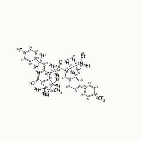 [2H]C([2H])(Sc1nc(=O)c2c(n1C([2H])([2H])C(=O)N(Cc1ccc(-c3ccc(C(F)(F)F)cc3)cc1)C([2H])([2H])C([2H])([2H])N(CC)CC)C([2H])([2H])C([2H])(C)C2([2H])[2H])c1ccc(F)cc1